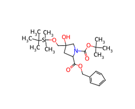 CC(C)(C)OC(=O)N1CC(O)(CO[Si](C)(C)C(C)(C)C)CC1C(=O)OCc1ccccc1